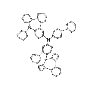 c1ccc(-c2ccc(N(c3ccc4c(c3)-c3ccccc3-c3ccccc3N4c3ccccc3)c3ccc4c(c3)-c3ccccc3C43c4ccccc4-c4ccccc4-c4ccccc43)cc2)cc1